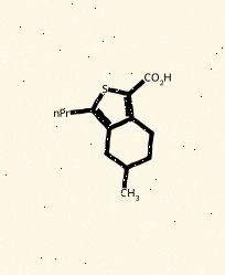 CCCc1sc(C(=O)O)c2c1CC(C)CC2